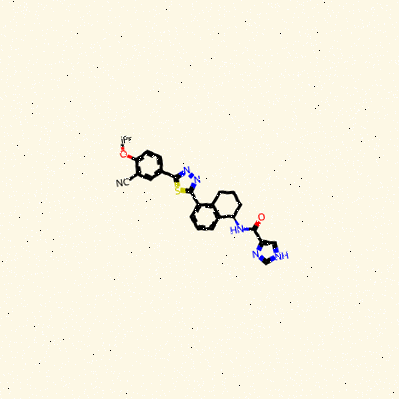 CC(C)Oc1ccc(-c2nnc(-c3cccc4c3CCC[C@H]4NC(=O)c3c[nH]cn3)s2)cc1C#N